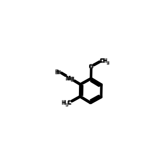 COc1cccc(C)[c]1[Mg][Br]